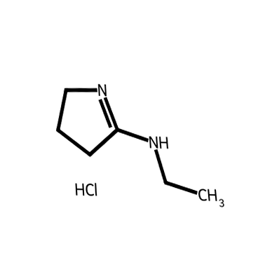 CCNC1=NCCC1.Cl